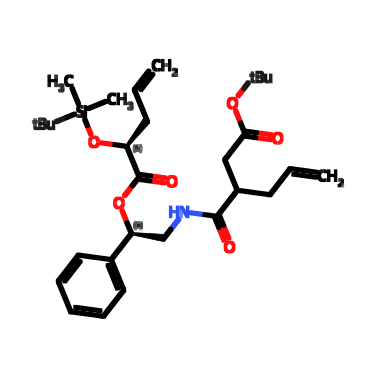 C=CCC(CC(=O)OC(C)(C)C)C(=O)NC[C@H](OC(=O)[C@H](CC=C)O[Si](C)(C)C(C)(C)C)c1ccccc1